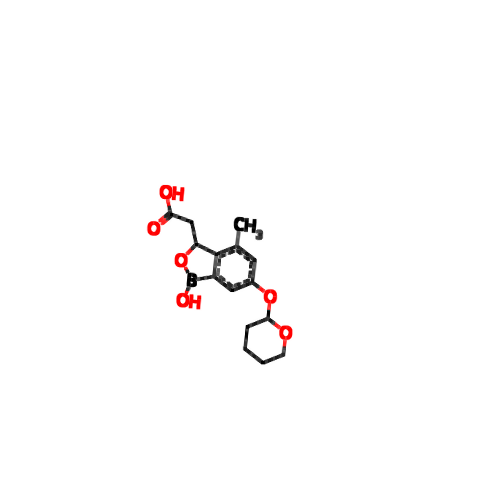 Cc1cc(OC2CCCCO2)cc2c1C(CC(=O)O)OB2O